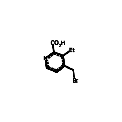 CCc1c(CBr)ccnc1C(=O)O